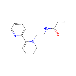 C=CC(=O)NCCN1CC=CC=C1c1ccccn1